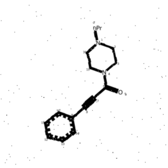 CCCN1CCN(C(=O)C#Cc2ccccc2)CC1